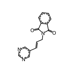 O=C1c2ccccc2C(=O)N1C/C=C/c1cncnc1